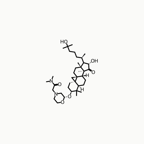 C[C@H](CCCC(C)(C)O)C1[C@H](O)C(=O)[C@@]2(C)[C@@H]3CC[C@H]4C(C)(C)[C@@H](O[C@H]5CN(CC(=O)N(C)C)CCO5)CC[C@@]45C[C@@]35CC[C@]12C